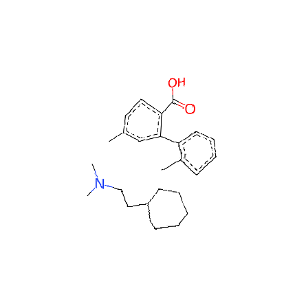 CN(C)CCC1CCCCC1.Cc1ccc(C(=O)O)c(-c2ccccc2C)c1